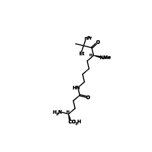 CCCC(C)(CC)C(=O)[C@H](CCCCNC(=O)CC[C@H](N)C(=O)O)NC